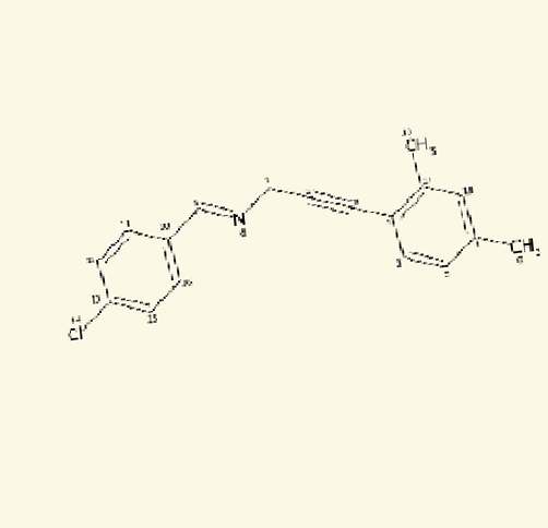 Cc1ccc(C#CCN=Cc2ccc(Cl)cc2)c(C)c1